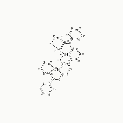 c1ccc(P(Cc2cccc(CNc3ccccc3P(c3ccccc3)c3ccccc3)n2)c2ccccc2)cc1